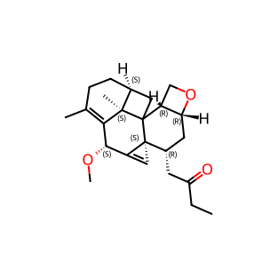 CCC(=O)C[C@H]1C[C@H]2OC[C@H]2C23C[C@@H]4CCC(C)=C([C@@H](OC)C5=C[C@@]512)[C@@]43C